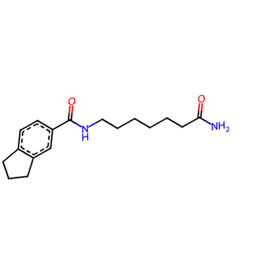 NC(=O)CCCCCCNC(=O)c1ccc2c(c1)CCC2